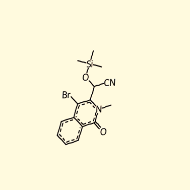 Cn1c(C(C#N)O[Si](C)(C)C)c(Br)c2ccccc2c1=O